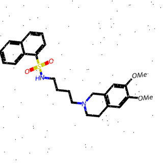 COc1cc2c(cc1OC)CN(CCCCNS(=O)(=O)c1cccc3ccccc13)CC2